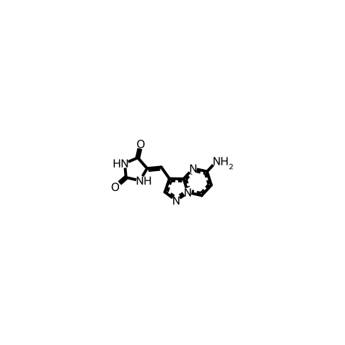 Nc1ccn2ncc(C=C3NC(=O)NC3=O)c2n1